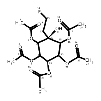 CC(=O)OC1C(OC(C)=O)[C@](O)(CCF)C(OC(C)=O)C(OC(C)=O)[C@H]1OC(C)=O